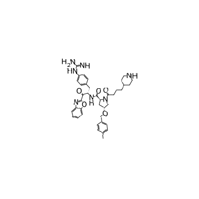 Cc1ccc(CO[C@@H]2C[C@@H](C(=O)N[C@@H](Cc3ccc(NC(=N)N)cc3)C(=O)c3nc4ccccc4o3)N(C(=O)CCCC3CCNCC3)C2)cc1